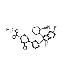 COC(=O)c1ccc(-c2cccc(-c3[nH]c4ccc(F)cc4c3C3=C(C#N)CCCC3)c2)c(Cl)c1